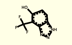 Oc1ccc2[nH]nnc2c1C(F)(F)F